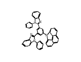 c1ccc(-n2c(-c3cc(-c4nc5ccccc5n4-c4ccccc4)cc(-n4c5cccc6ccc7cccc4c7c65)c3)nc3ccccc32)cc1